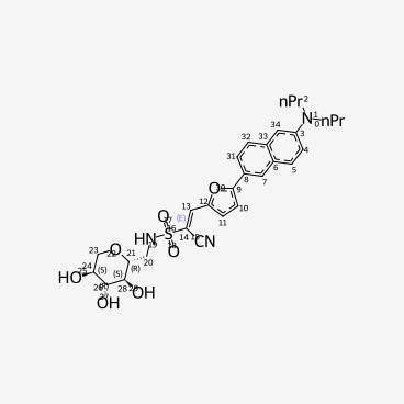 CCCN(CCC)c1ccc2cc(-c3ccc(/C=C(\C#N)S(=O)(=O)NC[C@H]4OC[C@H](O)[C@@H](O)[C@@H]4O)o3)ccc2c1